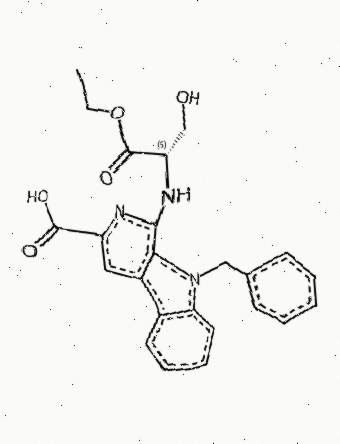 CCOC(=O)[C@H](CO)Nc1nc(C(=O)O)cc2c3ccccc3n(Cc3ccccc3)c12